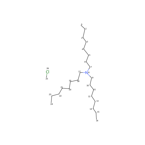 CCCCCCCCN(CCCCCCCC)CCCCCCCC.CCl